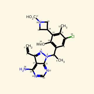 C=Cc1nn(C(C)c2cc(Cl)c(C)c(C3CN(C(=O)O)C3)c2OC)c2ncnc(N)c12